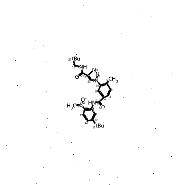 Cc1ccc(C(=O)Nc2cc(C(C)(C)C)ccc2[S+](C)[O-])cc1-n1cc(C(=O)NCC(C)(C)C)nn1